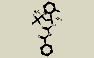 C[C@](O)(C[C@](C)(NC(=S)NC(=O)c1ccccc1)c1ccccc1F)C(F)(F)F